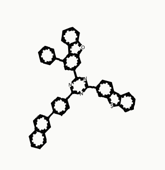 c1ccc(-c2cc(-c3nc(-c4ccc(-c5ccc6ccccc6c5)cc4)nc(-c4ccc5c(c4)sc4ccccc45)n3)cc3oc4ccccc4c23)cc1